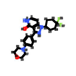 O=c1[nH]ccc2c1c(-c1ccc(N3CCOCC3)cc1)nn2C1CCC(F)(F)CC1